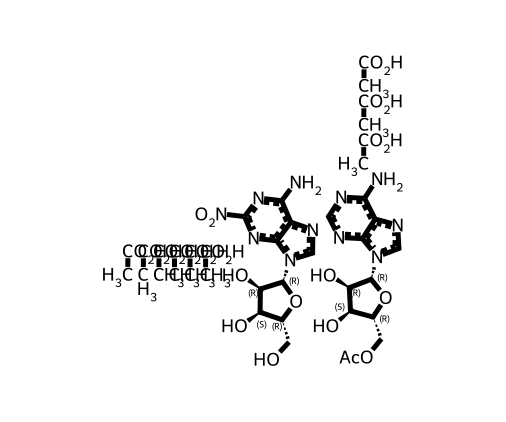 CC(=O)O.CC(=O)O.CC(=O)O.CC(=O)O.CC(=O)O.CC(=O)O.CC(=O)O.CC(=O)O.CC(=O)O.CC(=O)OC[C@H]1O[C@@H](n2cnc3c(N)ncnc32)[C@H](O)[C@@H]1O.Nc1nc([N+](=O)[O-])nc2c1ncn2[C@@H]1O[C@H](CO)[C@@H](O)[C@H]1O